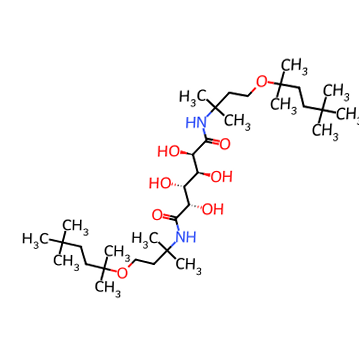 CC(C)(C)CCC(C)(C)OCCC(C)(C)NC(=O)[C@@H](O)[C@H](O)[C@H](O)[C@@H](O)C(=O)NC(C)(C)CCOC(C)(C)CCC(C)(C)C